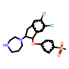 CS(=O)(=O)c1ccc(OC2c3cc(Cl)c(Cl)cc3CC2N2CCCNCC2)cc1